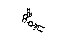 C#CCN(CC#C)S(=O)(=O)c1ccc(-n2ncc3ccc4[nH]ncc4c32)cc1